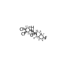 CC1c2ccc(F)cc2CCN1C(=O)Nc1ccc(Cl)c(Cl)c1